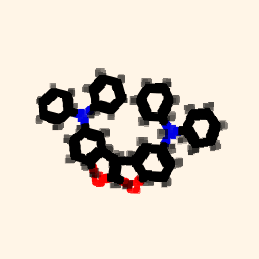 c1ccc(N(c2ccccc2)c2ccc3oc4oc5ccc(N(c6ccccc6)c6ccccc6)cc5c4c3c2)cc1